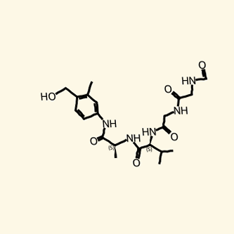 Cc1cc(NC(=O)[C@H](C)NC(=O)[C@@H](NC(=O)CNC(=O)CNC=O)C(C)C)ccc1CO